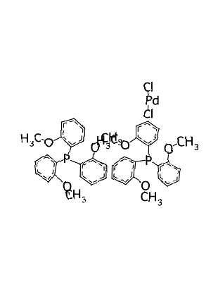 COc1ccccc1P(c1ccccc1OC)c1ccccc1OC.COc1ccccc1P(c1ccccc1OC)c1ccccc1OC.[Cl][Pd][Cl]